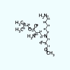 COC[C@@H](F)CN(CCCCCN)CC[C@H](N)C(=O)OCC(C)C